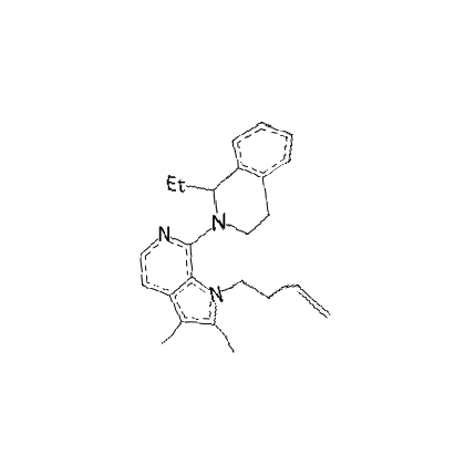 C=CCCn1c(C)c(C)c2ccnc(N3CCc4ccccc4C3CC)c21